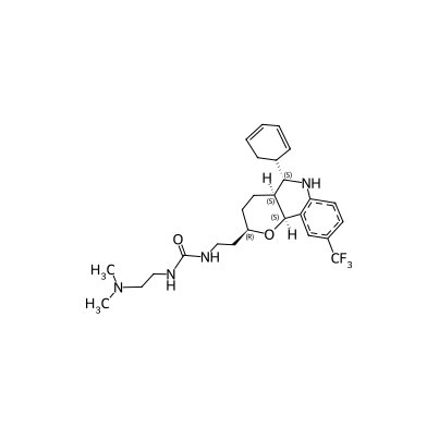 CN(C)CCNC(=O)NCC[C@H]1CC[C@@H]2[C@H](O1)c1cc(C(F)(F)F)ccc1N[C@H]2C1C=CC=CC1